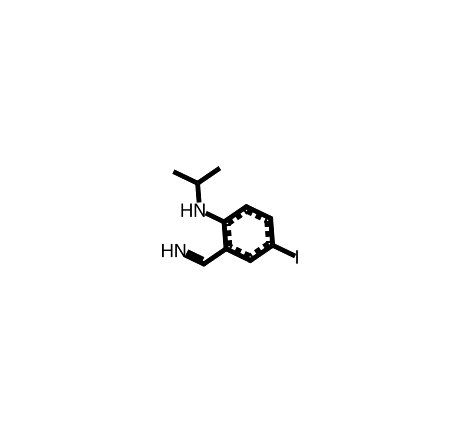 CC(C)Nc1ccc(I)cc1C=N